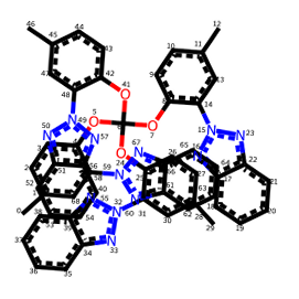 Cc1ccc(OC(Oc2ccc(C)cc2-n2nc3ccccc3n2)(Oc2ccc(C)cc2-n2nc3ccccc3n2)Oc2ccc(C)cc2-n2nc3ccccc3n2)c(-n2nc3ccccc3n2)c1